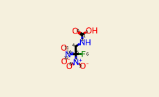 O=C(O)NCC(F)([N+](=O)[O-])[N+](=O)[O-]